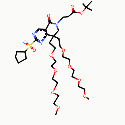 COCCOCCOCCOCCC1(CCOCCOCCOCCOC)CN(CCC(=O)OC(C)(C)C)C(=O)c2cnc(S(=O)(=O)C3CCCC3)nc21